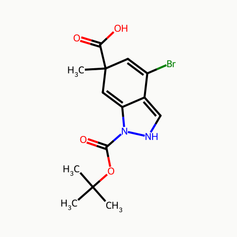 CC(C)(C)OC(=O)N1NC=C2C(Br)=CC(C)(C(=O)O)C=C21